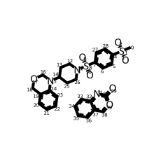 CS(=O)(=O)c1ccc(S(=O)(=O)N2CCC(N3COCc4ccccc43)CC2)cc1.O=c1nc2ccccc2co1